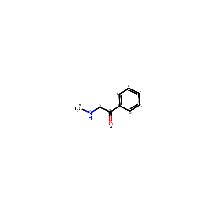 [CH2]NCC(=O)c1ccccc1